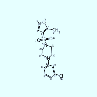 Cc1oncc1S(=O)(=O)N1CCN(c2cccc(Cl)c2)CC1